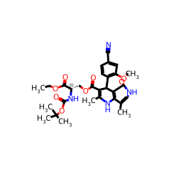 CCOC(=O)[C@H](COC(=O)C1=C(C)Nc2c(C)c[nH]c(=O)c2C1c1ccc(C#N)cc1OC)NC(=O)OC(C)(C)C